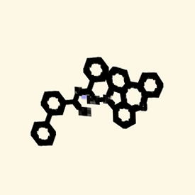 N=C(/N=C(\Nn1c2cccc3oc4ccccc4c4cccc1c4c32)c1ccccc1)c1cccc(-c2ccccc2)c1